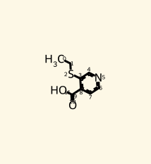 CCSc1cnccc1C(=O)O